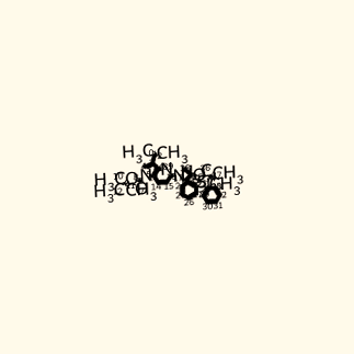 CC(C)c1cn(C(=O)OC(C)(C)C)c2ccc(N3CC(O[Si](c4ccccc4)(c4ccccc4)C(C)(C)C)C3)nc12